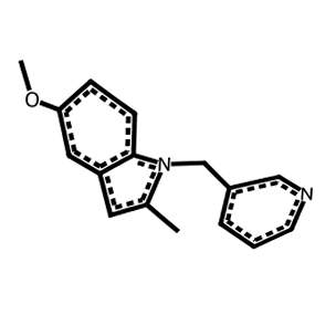 COc1ccc2c(c1)cc(C)n2Cc1cccnc1